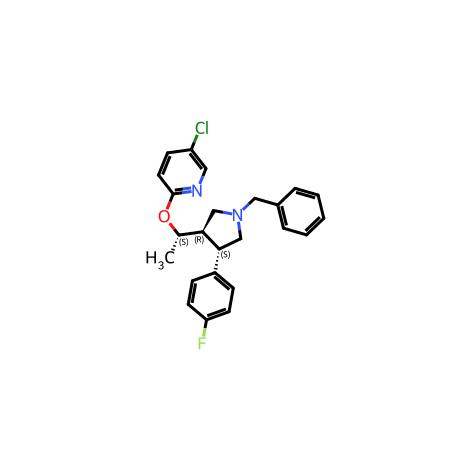 C[C@H](Oc1ccc(Cl)cn1)[C@H]1CN(Cc2ccccc2)C[C@@H]1c1ccc(F)cc1